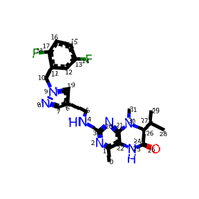 Cc1nc(NCc2cnn(Cc3cc(F)ccc3F)c2)nc2c1NC(=O)C(C(C)C)N2C